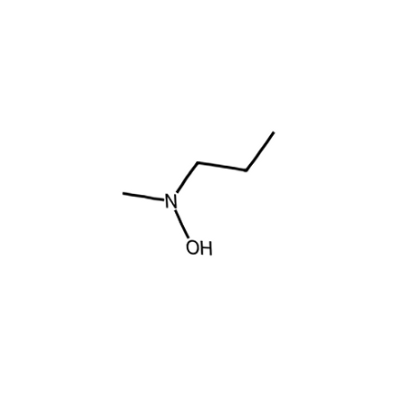 CCCN(C)O